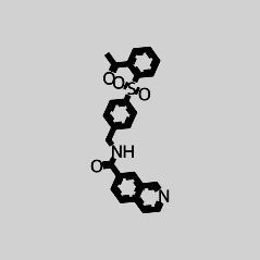 CC(=O)c1ccccc1S(=O)(=O)c1ccc(CNC(=O)c2ccc3ccncc3c2)cc1